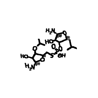 CC(C)C[C@H]1O[C@@H](N)C(O)C1OP(=O)(O)SC[C@H]1O[C@@H](N)C(O)C1OC(C)C